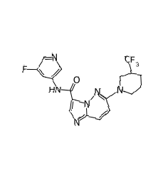 O=C(Nc1cncc(F)c1)c1cnc2ccc(N3CCCC(C(F)(F)F)C3)nn12